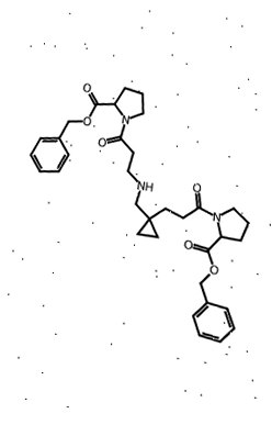 O=C(OCc1ccccc1)C1CCCN1C(=O)CCNCC1(CCC(=O)N2CCCC2C(=O)OCc2ccccc2)CC1